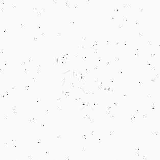 Cc1nc2c(F)c(-c3cccc(Cl)c3Cl)c(CCC#N)cc2c2c1cc([C@H]1C[C@H](O[Si](C)(C)C(C)(C)C)C3(CC3)N1C(=O)C1CC1)n2[C@H]1[C@@H]2C[C@H]1N(C(=O)OC(C)(C)C)C2